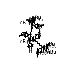 C=CCON1C(C)(C)CC(N(CCCCCCN(c2nc(N(CCCC)C3CC(C)(C)NC(C)(C)C3)nc(N(CCCCCCN(c3nc(N(CCCC)CCCC)nc(N(CCCC)CCCC)n3)C3CC(C)(C)N(OCC=C)C(C)(C)C3)C3CC(C)(C)N(OCC=C)C(C)(C)C3)n2)C2CC(C)(C)N(OCC=C)C(C)(C)C2)c2nc(N(CCCC)CCCC)nc(N(CCCC)CCCC)n2)CC1(C)C